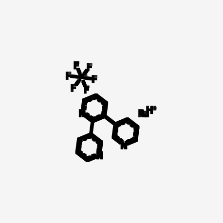 F[P-](F)(F)(F)(F)F.[H+].[Ru].c1cncc(-c2cccnc2-c2cccnc2)c1